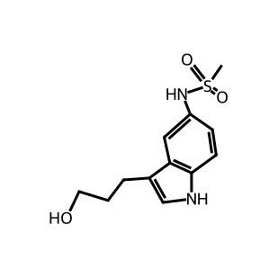 CS(=O)(=O)Nc1ccc2[nH]cc(CCCO)c2c1